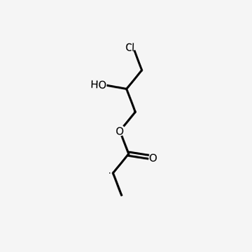 C[CH]C(=O)OCC(O)CCl